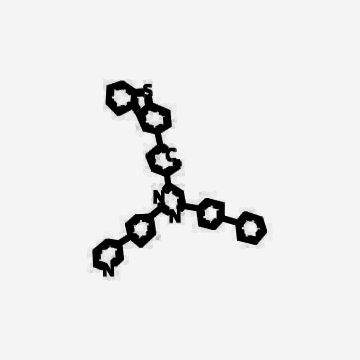 c1ccc(-c2ccc(-c3cc(-c4ccc(-c5ccc6sc7ccccc7c6c5)cc4)nc(-c4ccc(-c5cccnc5)cc4)n3)cc2)cc1